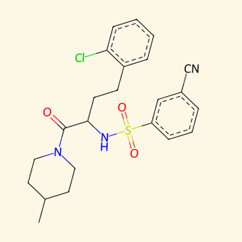 CC1CCN(C(=O)C(CCc2ccccc2Cl)NS(=O)(=O)c2cccc(C#N)c2)CC1